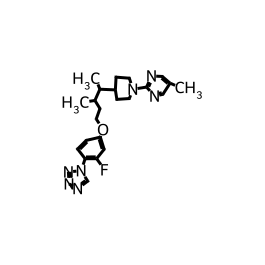 Cc1cnc(N2CCC(C(C)C(C)CCOc3ccc(-n4cnnn4)c(F)c3)CC2)nc1